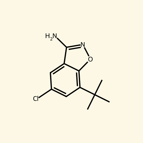 CC(C)(C)c1cc(Cl)cc2c(N)noc12